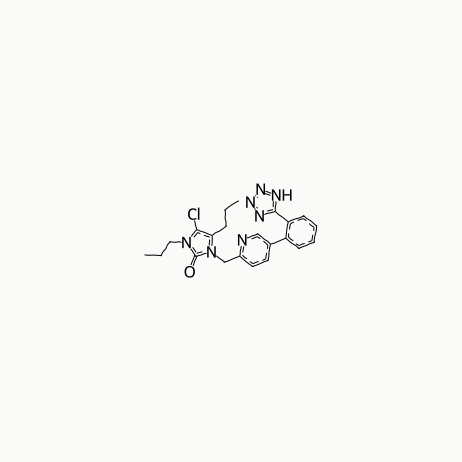 CCCc1c(Cl)n(CCC)c(=O)n1Cc1ccc(-c2ccccc2-c2nnn[nH]2)cn1